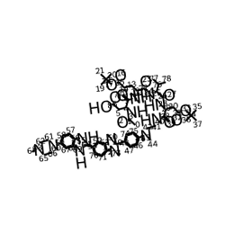 CC(=O)NC(CC(=O)O)C(=O)NC(CCC(=O)OC(C)(C)C)C(=O)NC(C(=O)NC(CC(=O)OC(C)(C)C)C(=O)NCCN(C)c1ccc(C2=Nc3cc(=C4Nc5ccc(N6CCN(C)CC6)cc5N4)ccc3=N2)cc1)C(C)C